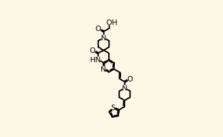 O=C(/C=C/c1cnc2c(c1)CC1(CCN(C(=O)CO)CC1)C(=O)N2)N1CCC(=Cc2cccs2)CC1